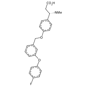 CN[C@@H](CC(=O)O)c1ccc(OCc2cccc(Oc3ccc(F)cc3)c2)cc1